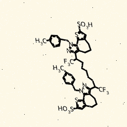 Cc1ccc(Cn2nc(C(CCCCCC(c3nn(Cc4ccc(C)cc4)c4c3CCCc3cc(S(=O)(=O)O)sc3-4)C(F)(F)F)C(F)(F)F)c3c2-c2sc(S(=O)(=O)O)cc2CCC3)cc1